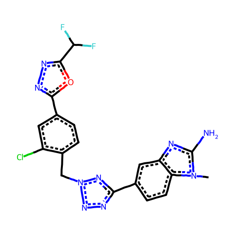 Cn1c(N)nc2cc(-c3nnn(Cc4ccc(-c5nnc(C(F)F)o5)cc4Cl)n3)ccc21